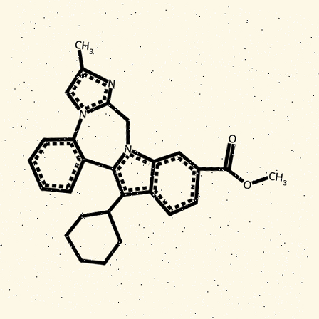 COC(=O)c1ccc2c(C3CCCCC3)c3n(c2c1)Cc1nc(C)cn1-c1ccccc1-3